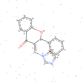 O=C1/C(=C/n2ccnc2)C(c2ccccc2)Oc2ccccc21